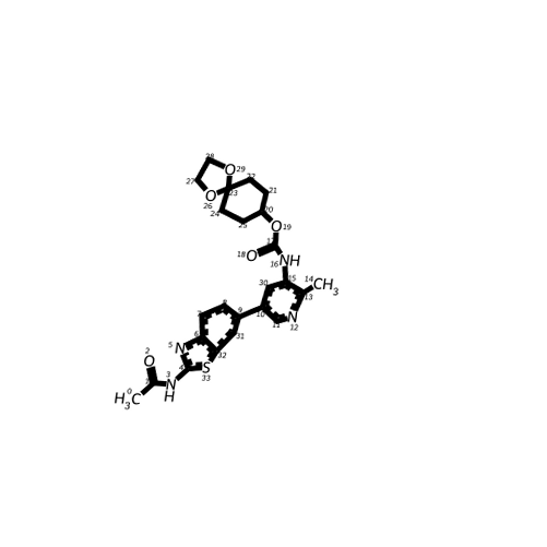 CC(=O)Nc1nc2ccc(-c3cnc(C)c(NC(=O)OC4CCC5(CC4)OCCO5)c3)cc2s1